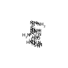 CCc1[nH]c2nc(Sc3cnc4nccnc4c3)nc(C3CC(NC(=O)C4CNC4CCc4[nH]c5nc(Sc6ccc7c(N8CC[C@@H](N)C8)cc(C)nc7c6)nc(N6CC[C@H](N)C6)c5c4Cl)C3)c2c1Cl